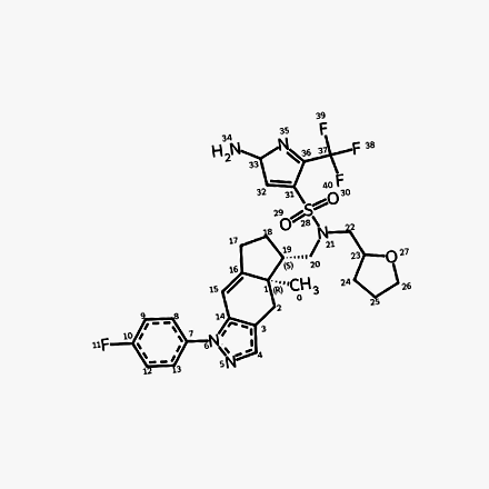 C[C@]12Cc3cnn(-c4ccc(F)cc4)c3C=C1CC[C@@H]2CN(CC1CCCO1)S(=O)(=O)C1=CC(N)N=C1C(F)(F)F